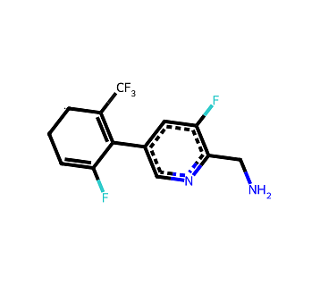 NCc1ncc(C2=C(C(F)(F)F)[CH]CC=C2F)cc1F